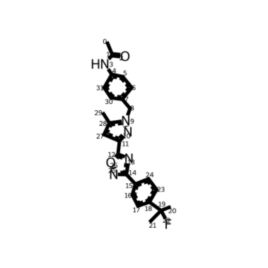 CC(=O)Nc1ccc(Cn2nc(-c3nc(-c4ccc(C(C)(C)F)cc4)no3)cc2C)cc1